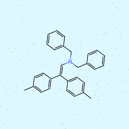 Cc1ccc(C(=CN(Cc2ccccc2)Cc2ccccc2)c2ccc(C)cc2)cc1